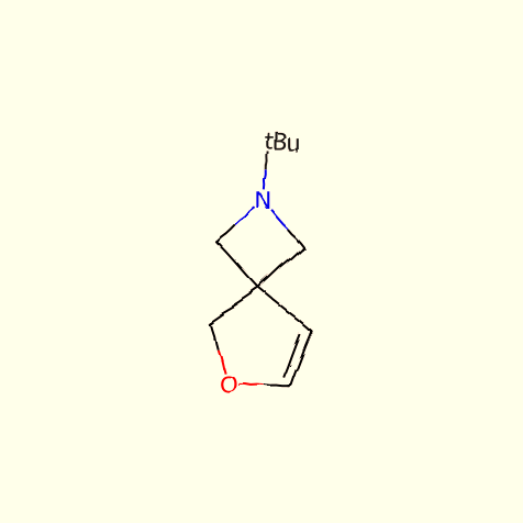 CC(C)(C)N1CC2(C=COC2)C1